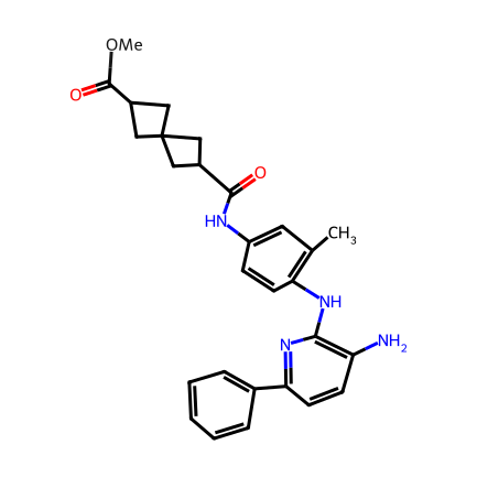 COC(=O)C1CC2(CC(C(=O)Nc3ccc(Nc4nc(-c5ccccc5)ccc4N)c(C)c3)C2)C1